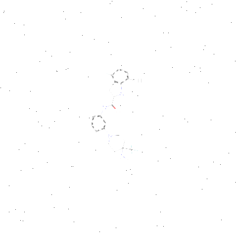 Cc1ccc(F)c2c1NC(C(=O)Nc1cccc(N3CCC(N(C)C)(C(F)(F)F)CC3)c1)C2